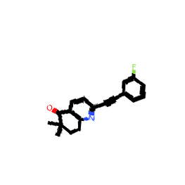 CC1(C)CCc2nc(C#Cc3cccc(F)c3)ccc2C1=O